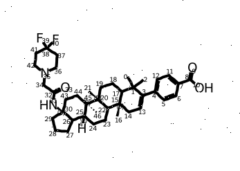 CC1(C)C(c2ccc(C(=O)O)cc2)=CC[C@@]2(C)C1CC[C@]1(C)C2CC[C@@H]2C3CCC[C@]3(NC(=O)CN3CCC(F)(F)CC3)CC[C@]21C